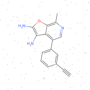 C#Cc1cccc(-c2cnc(C)c3oc(N)c(N)c23)c1